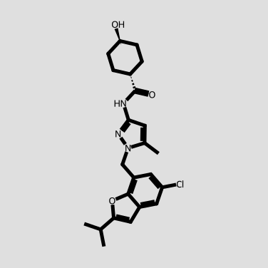 Cc1cc(NC(=O)[C@H]2CC[C@H](O)CC2)nn1Cc1cc(Cl)cc2cc(C(C)C)oc12